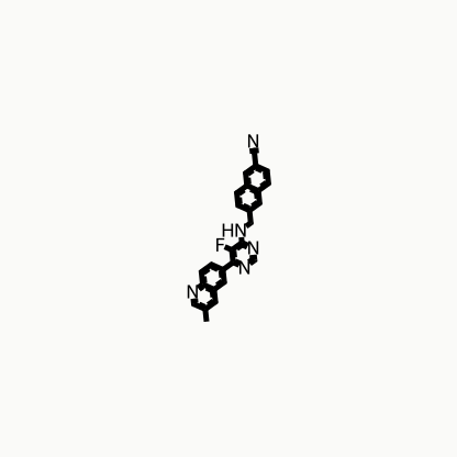 Cc1cnc2ccc(-c3ncnc(NCc4ccc5cc(C#N)ccc5c4)c3F)cc2c1